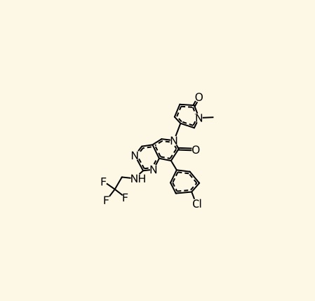 Cn1cc(-n2cc3cnc(NCC(F)(F)F)nc3c(-c3ccc(Cl)cc3)c2=O)ccc1=O